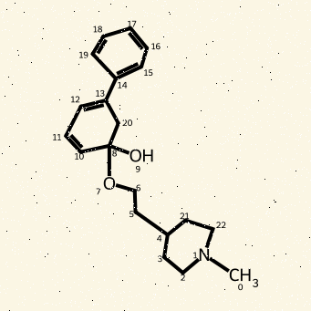 CN1CCC(CCOC2(O)C=CC=C(c3ccccc3)C2)CC1